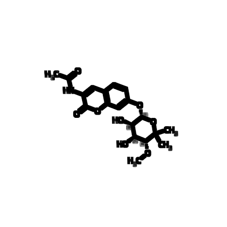 CO[C@@H]1[C@@H](O)[C@@H](O)[C@H](Oc2ccc3cc(NC(C)=O)c(=O)oc3c2)OC1(C)C